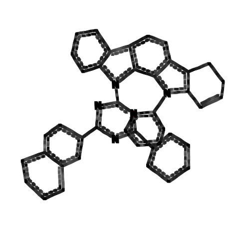 C1=Cc2c(c3ccc4c5ccccc5n(-c5nc(-c6ccccc6)nc(-c6ccc7ccccc7c6)n5)c4c3n2-c2ccccc2)CC1